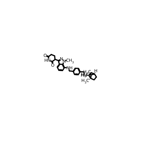 Cn1nc(C2CCC(=O)NC2=O)c2cccc(NCc3ccc(CN[C@H]4C[C@H]5CC[C@]4(C)C5(C)C)cc3)c21